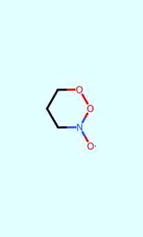 [O]N1CCCOO1